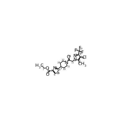 CCOC(=O)c1csc(C2CCN(C(=O)Cn3nc(C(F)(F)F)c(Cl)c3C)CC2)n1